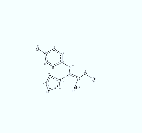 CCOC(=C(Oc1ccc(Cl)cc1)n1ccnc1)C(C)(C)C